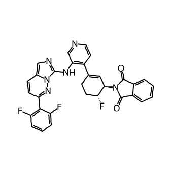 O=C1c2ccccc2C(=O)N1[C@@H]1C=C(c2ccncc2Nc2ncc3ccc(-c4c(F)cccc4F)nn23)CC[C@H]1F